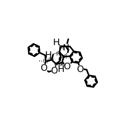 CN1CC[C@]23c4c5ccc(OCc6ccccc6)c4O[C@H]2[C@@]24C=C[C@@]3(C[C@@H]2[C@](C)(Cc2ccccc2)OCO4)[C@H]1C5